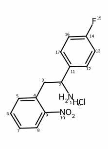 Cl.NC(Cc1ccccc1[N+](=O)[O-])c1ccc(F)cc1